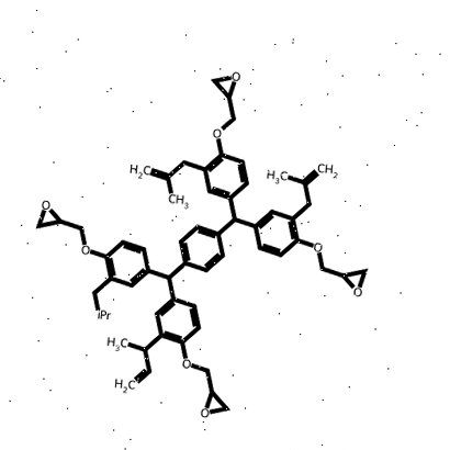 C=CC(C)c1cc(C(c2ccc(C(c3ccc(OCC4CO4)c(CC(=C)C)c3)c3ccc(OCC4CO4)c(CC(=C)C)c3)cc2)c2ccc(OCC3CO3)c(CC(C)C)c2)ccc1OCC1CO1